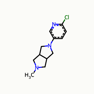 CN1CC2CN(c3ccc(Cl)nc3)CC2C1